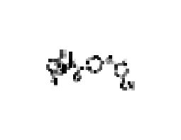 N#Cc1csc(Sc2ccc(C(=O)N[C@@H]3C[C@H]4CC[C@@H]3N4)cc2)c1